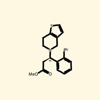 COC(=O)C[C@H](c1ccccc1C(C)C)N1CCc2sccc2C1